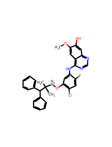 COc1cc2c(Nc3cc(O[SiH2]C(C)(C)C(c4ccccc4)c4ccccc4)c(Cl)cc3F)ncnc2cc1O